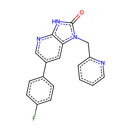 O=c1[nH]c2ncc(-c3ccc(F)cc3)cc2n1Cc1ccccn1